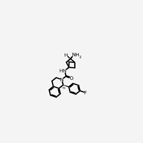 N[C@H]1CC2(NC(=O)N3CCc4ccccc4[C@@H]3c3ccc(F)cc3)CC1C2